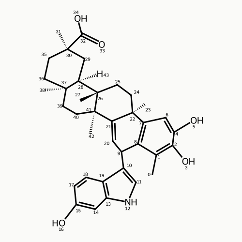 Cc1c(O)c(O)cc2c1C(c1c[nH]c3cc(O)ccc13)C=C1[C@@]2(C)CC[C@@]2(C)[C@@H]3C[C@](C)(C(=O)O)CC[C@]3(C)CC[C@]12C